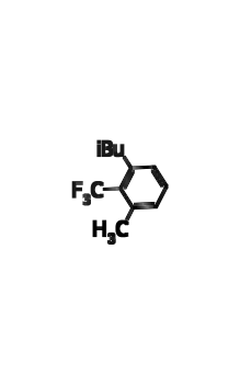 CCC(C)c1cccc(C)c1C(F)(F)F